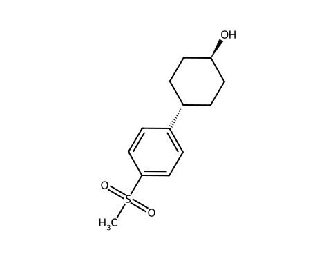 CS(=O)(=O)c1ccc([C@H]2CC[C@H](O)CC2)cc1